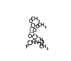 COc1cc(CC2COc3c(cc(Cn4ccn(C)c4=N)cc3-c3ccc(F)cc3)C2=O)cc(OC)c1